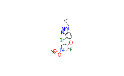 CC(C)(C)OC(=O)N1CCC(Oc2ccc3c(nnn3CC3CC3)c2Br)C(F)C1